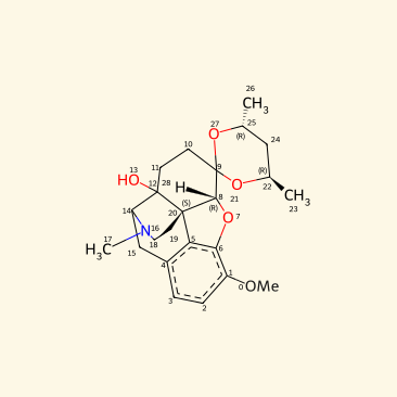 COc1ccc2c3c1O[C@H]1C4(CCC5(O)C(C2)N(C)CC[C@]315)O[C@H](C)C[C@@H](C)O4